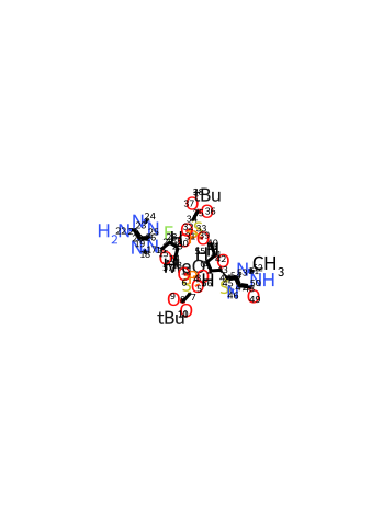 CO[C@H]1[C@H]2O[P@](=O)(SCC(=O)OC(C)(C)C)OC[C@H]3O[C@@H](n4cnc5c(N)ncnc54)[C@H](F)[C@@H]3O[P@](=O)(SCC(=O)OC(C)(C)C)OC[C@H]1O[C@H]2c1snc2c(=O)[nH]c(C)nc12